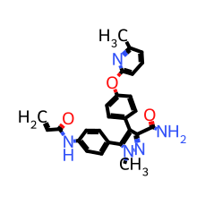 C=CC(=O)Nc1ccc(-c2c(-c3ccc(Oc4cccc(C)n4)cc3)c(C(N)=O)nn2C)cc1